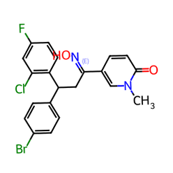 Cn1cc(/C(CC(c2ccc(Br)cc2)c2ccc(F)cc2Cl)=N/O)ccc1=O